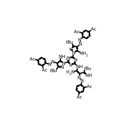 CC(=O)c1ccc(/N=N/C(C(=N)C(C)(C)C)=C(\N)Nc2nc(-n3nc(C(C)(C)C)c(/N=N/c4ccc(C(C)=O)cc4C(C)=O)c3N)nc(-n3nc(C(C)(C)C)c(/N=N/c4ccc(C(C)=O)cc4C(C)=O)c3N)n2)c(C(C)=O)c1